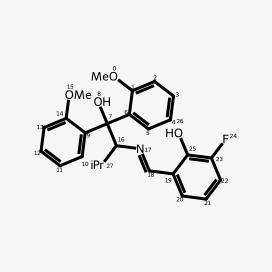 COc1ccccc1C(O)(c1ccccc1OC)C(N=Cc1cccc(F)c1O)C(C)C